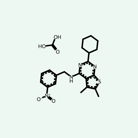 Cc1sc2nc(C3CCCCC3)nc(NCc3cccc([N+](=O)[O-])c3)c2c1C.O=C(O)O